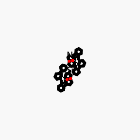 c1ccc([Si](c2ccccc2)(c2cccc3c2oc2c(-n4c5ccccc5c5ccccc54)cccc23)c2cccc3c2sc2c(-n4c5ccccc5c5ncccc54)cccc23)cc1